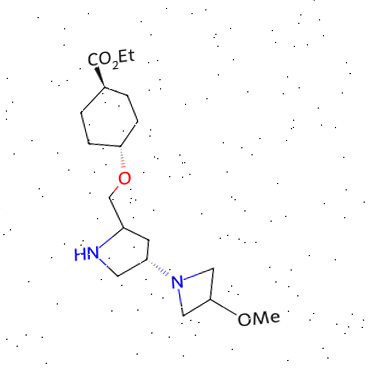 CCOC(=O)[C@H]1CC[C@H](OCC2C[C@H](N3CC(OC)C3)CN2)CC1